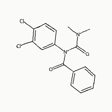 CN(C)C(=O)N(C(=O)c1ccccc1)c1ccc(Cl)c(Cl)c1